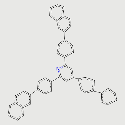 c1ccc(-c2ccc(-c3cc(-c4ccc(-c5ccc6ccccc6c5)cc4)nc(-c4ccc(-c5ccc6ccccc6c5)cc4)c3)cc2)cc1